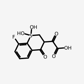 O=C(O)C(=O)C1CS(O)(O)c2c(F)cccc2C1=O